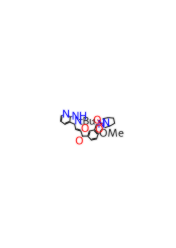 COc1ccc2c(c1CN1CC3CCC(C1)N3C(=O)OC(C)(C)C)O/C(=C\c1n[nH]c3ncccc13)C2=O